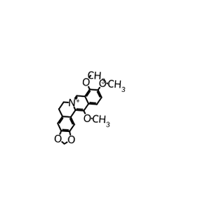 COc1ccc2c(OC)c3[n+](cc2c1OC)CCc1cc2c(cc1-3)OCO2